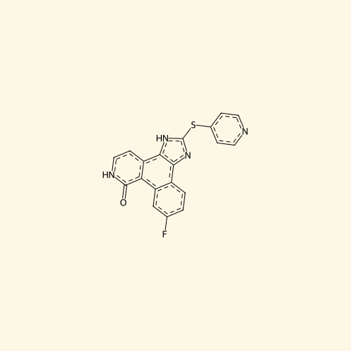 O=c1[nH]ccc2c3[nH]c(Sc4ccncc4)nc3c3ccc(F)cc3c12